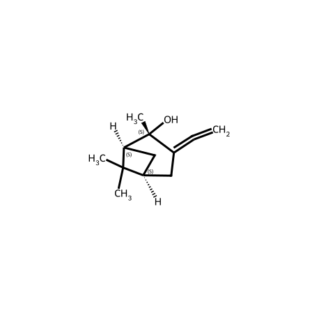 C=C=C1C[C@@H]2C[C@@H](C2(C)C)[C@]1(C)O